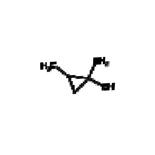 CC1CC1(N)O